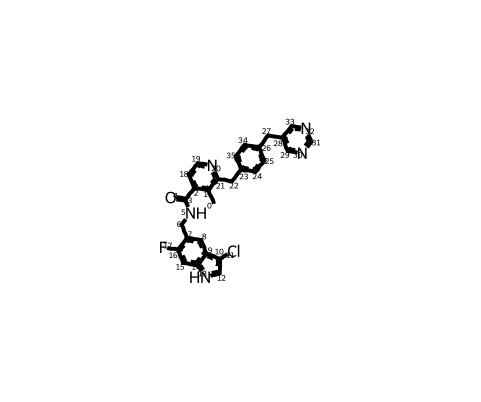 Cc1c(C(=O)NCc2cc3c(Cl)c[nH]c3cc2F)ccnc1Cc1ccc(Cc2cncnc2)cc1